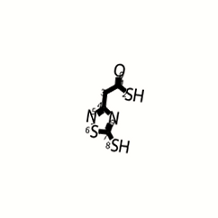 O=C(S)Cc1nsc(S)n1